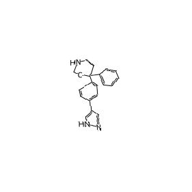 c1ccc(C2(c3ccc(-c4cn[nH]c4)cc3)CCNCC2)cc1